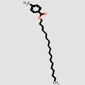 CCCCCCCCCCCCCCCCCCOC(=O)c1ccc(C)cc1